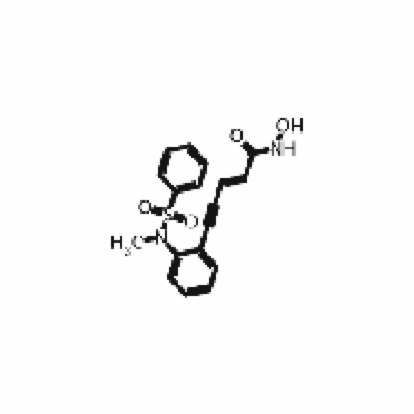 CN(c1ccccc1C#C/C=C/C(=O)NO)S(=O)(=O)c1ccccc1